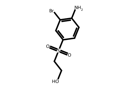 Nc1ccc(S(=O)(=O)CCO)cc1Br